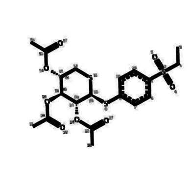 CCS(=O)(=O)c1ccc(S[C@@H]2SC[C@@H](OC(C)=O)[C@H](OC(C)=O)[C@H]2OC(C)=O)cc1